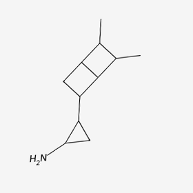 CC1C(C)C2C1CC2C1CC1N